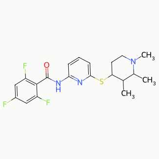 CC1C(Sc2cccc(NC(=O)c3c(F)cc(F)cc3F)n2)CCN(C)C1C